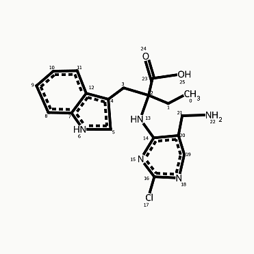 CCC(Cc1c[nH]c2ccccc12)(Nc1nc(Cl)ncc1CN)C(=O)O